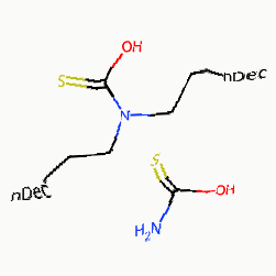 CCCCCCCCCCCCN(CCCCCCCCCCCC)C(O)=S.NC(O)=S